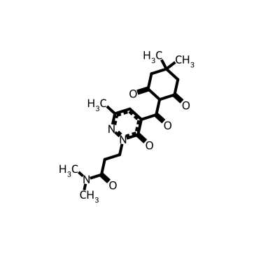 Cc1cc(C(=O)C2C(=O)CC(C)(C)CC2=O)c(=O)n(CCC(=O)N(C)C)n1